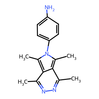 Cc1nnc(C)c2c(C)n(-c3ccc(N)cc3)c(C)c12